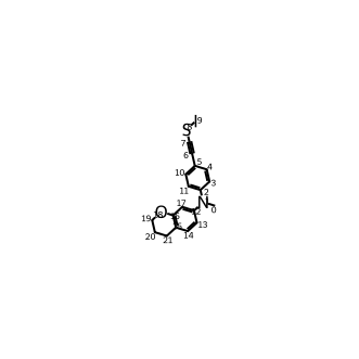 CN(c1ccc(C#CSI)cc1)c1ccc2c(c1)OCCC2